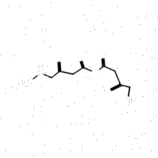 NCC(=O)CC(=O)OC(=O)CC(=O)CNN